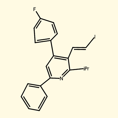 CC(C)c1nc(-c2ccccc2)cc(-c2ccc(F)cc2)c1C=CI